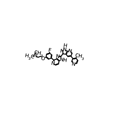 Cc1ccncc1-c1cnc2[nH]nc(-c3nc4c(-c5cc(F)cc(OCCN(C)C)c5)nccc4[nH]3)c2c1